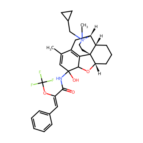 CC1=CC(O)(NC(=O)C(=Cc2ccccc2)OC(F)(F)F)C2O[C@H]3CCC[C@H]4[C@H]5CC1=C2[C@@]34CC[N+]5(C)CC1CC1